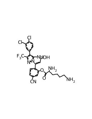 N#Cc1ccc(C2=CC(O)Nc3c(-c4ccc(Cl)c(Cl)c4)c(C(F)(F)F)nn32)c(OC(=O)[C@@H](N)CCCCN)c1